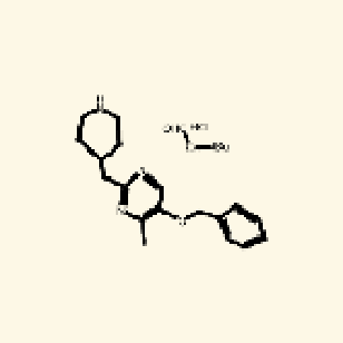 CC(C)(C)OC=O.Cc1nc(CC2CCNCC2)ncc1OCc1ccccc1.Cl